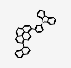 c1cc(-c2ccc3ccc4ccc(-c5cccc6ccccc56)c5ccc2c3c45)cc(-n2c3ccccc3c3ccccc32)c1